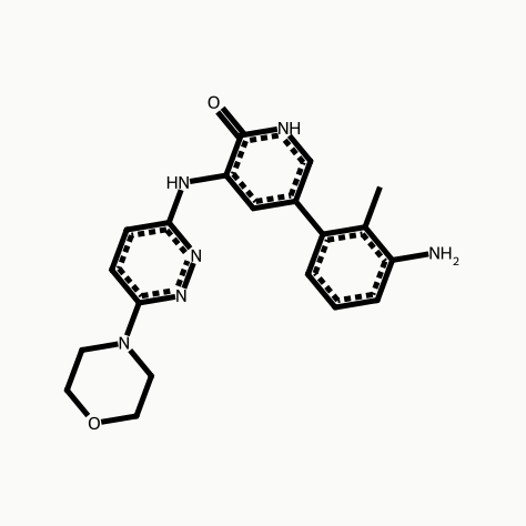 Cc1c(N)cccc1-c1c[nH]c(=O)c(Nc2ccc(N3CCOCC3)nn2)c1